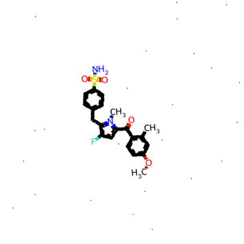 COc1ccc(C(=O)c2cc(F)c(Cc3ccc(S(N)(=O)=O)cc3)n2C)c(C)c1